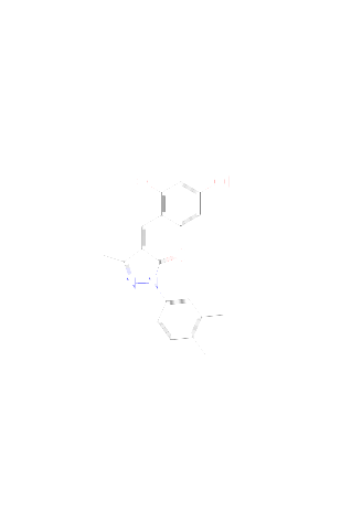 CC1=NN(c2ccc(C)c(C)c2)C(=O)C1=Cc1ccc(O)cc1O